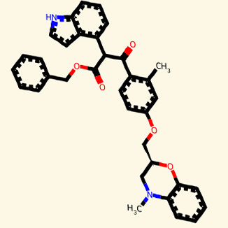 Cc1cc(OC[C@@H]2CN(C)c3ccccc3O2)ccc1C(=O)C(C(=O)OCc1ccccc1)c1cccc2[nH]ccc12